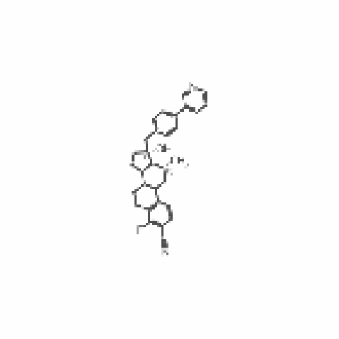 C[C@@H]1CC2c3ccc(C#N)c(F)c3CCC2C2CC[C@@](O)(Cc3ccc(-c4cccnc4)cc3)C21